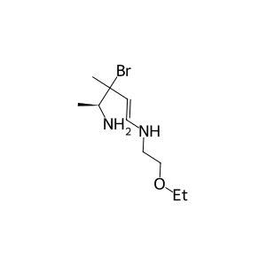 CCOCCN/C=C/C(C)(Br)[C@H](C)N